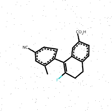 Cc1cc(C#N)ccc1C1=C(F)CCc2ccc(C(=O)O)cc21